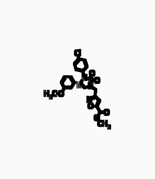 COC(=O)c1cc(CN2C[C@H](c3cccc(OC)c3)N(c3ccc(Cl)cc3)S2(=O)=O)no1